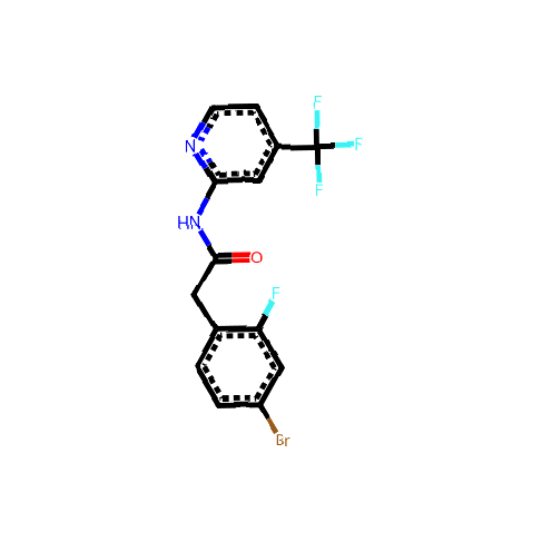 O=C(Cc1ccc(Br)cc1F)Nc1cc(C(F)(F)F)ccn1